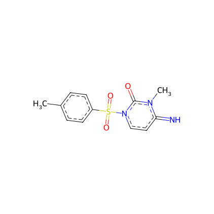 Cc1ccc(S(=O)(=O)n2ccc(=N)n(C)c2=O)cc1